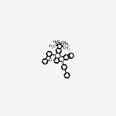 CC1(C)c2cc3c(cc2C(C)(C)C1(C)C)N(c1cccc2c1oc1ccccc12)c1cccc2c1B3c1cc3c(cc1N2c1ccc(-c2ccccc2)cc1)C1CCC3CC1